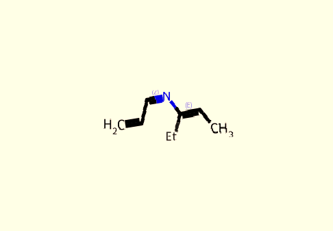 C=C/C=N\C(=C\C)CC